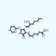 CCCCC[C@H](O)/C=C/[C@H]1[C@H](OC2CCCCO2)CC(=O)[C@@H]1C/C=C\CCCC(=O)O